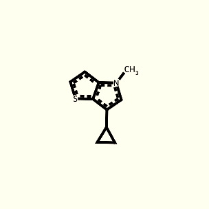 Cn1cc(C2CC2)c2sccc21